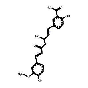 COc1cc(/C=C/C(=O)CC(O)/C=C/c2ccc(O)c(C(C)=O)c2)ccc1O